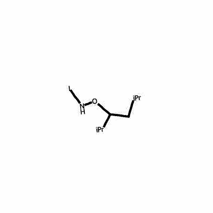 CC(C)CC(ONI)C(C)C